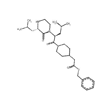 CC(C)C[C@@H]1NCCN([C@@H](CC(C)C)C(=O)N2CCC(CC(=O)OCc3ccccc3)CC2)C1=O